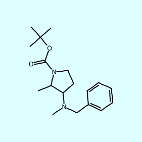 CC1C(N(C)Cc2ccccc2)CCN1C(=O)OC(C)(C)C